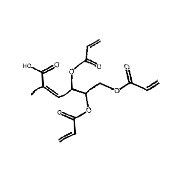 C=CC(=O)OCC(OC(=O)C=C)C(C=C(C)C(=O)O)OC(=O)C=C